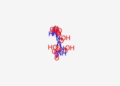 CCOP(=O)(OCC)C(NC(=O)CN(CCN(CCN(CC(=O)O)CC(=O)NC(P(C)(C)=O)P(C)(C)=O)CC(=O)O)CC(=O)O)P(=O)(OCC)OCC